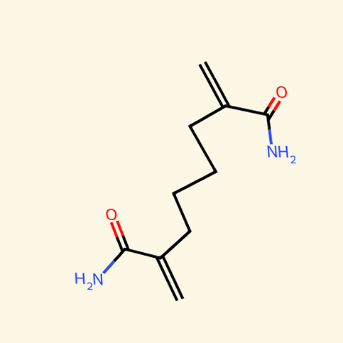 C=C(CCCCC(=C)C(N)=O)C(N)=O